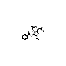 CC[C@H]1OC(OC(C)=O)[C@@H](OC(C)=O)C1OC(=O)c1ccccc1